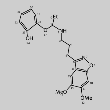 CCC(NCCCc1noc2cc(OC)c(OC)cc12)Oc1ccccc1O